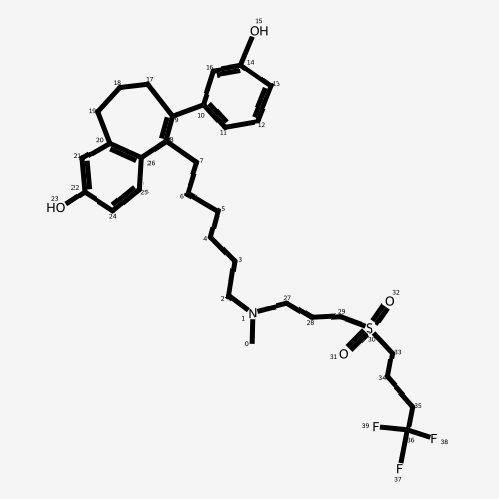 CN(CCCCCCC1=C(c2cccc(O)c2)CCCc2cc(O)ccc21)CCCS(=O)(=O)CCCC(F)(F)F